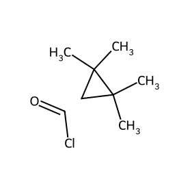 CC1(C)CC1(C)C.O=CCl